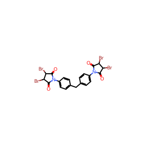 O=C1C(Br)C(Br)C(=O)N1c1ccc(Cc2ccc(N3C(=O)C(Br)C(Br)C3=O)cc2)cc1